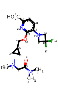 CN(C)C(=O)CNC(C)(C)C.O=C(O)c1ccc(N2CC(F)(F)C2)c(OCC2CC2)n1